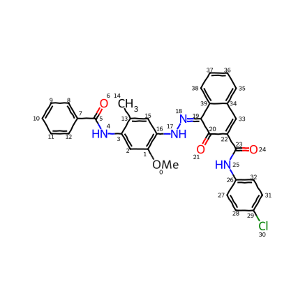 COc1cc(NC(=O)c2ccccc2)c(C)cc1N/N=C1\C(=O)C(C(=O)Nc2ccc(Cl)cc2)=Cc2ccccc21